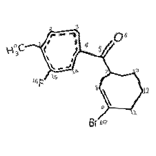 Cc1ccc(C(=O)C2C=C(Br)CCC2)cc1F